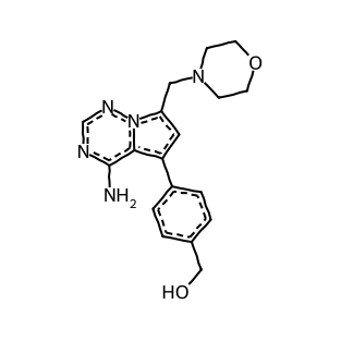 Nc1ncnn2c(CN3CCOCC3)cc(-c3ccc(CO)cc3)c12